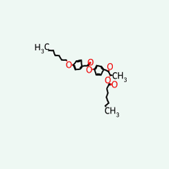 CCCCCCCOc1ccc(C(=O)Oc2ccc(C(=O)C(C)OC(=O)CCCCCC)cc2)cc1